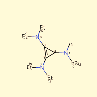 CCCCN(C)C1C(N(CC)CC)=C1N(CC)CC